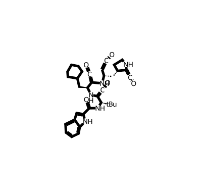 CC(C)(C)[C@H](NC(=O)c1cc2ccccc2[nH]1)C(=C=O)N[C@@H](CC1CCCCC1)C(=C=O)N[C@H](C=C=O)C[C@@H]1CCNC1=C=O